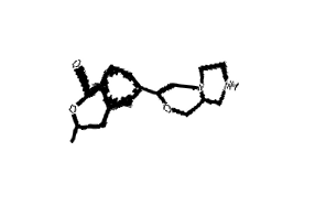 CC1Cc2cc(C3CN4CCNCC4CO3)ccc2C(=O)O1